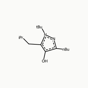 CCCCc1nn(C(C)(C)C)c(CC(C)C)c1O